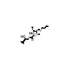 C=C=C(N[C@H](C)C(=O)NCC(O)=C1CC1)[C@@H](COCCCC)NC